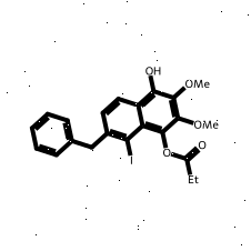 CCC(=O)Oc1c(OC)c(OC)c(O)c2ccc(Cc3ccccc3)c(I)c12